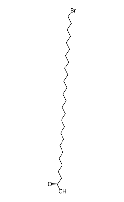 O=C(O)CCCCCCCCCCCCCCCCCCCCCCCCCCBr